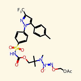 CC(=O)OCON=[N+]([O-])N(C)C(C)(C)COC(=O)NS(=O)(=O)c1ccc(-n2nc(C(F)(F)F)cc2-c2ccc(C)cc2)cc1